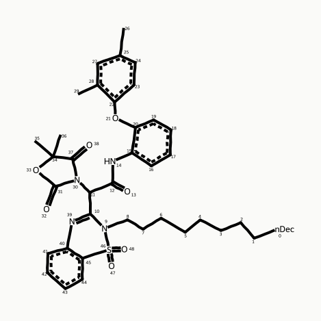 CCCCCCCCCCCCCCCCCCN1C(C(C(=O)Nc2ccccc2Oc2ccc(C)cc2C)N2C(=O)OC(C)(C)C2=O)=Nc2ccccc2S1(=O)=O